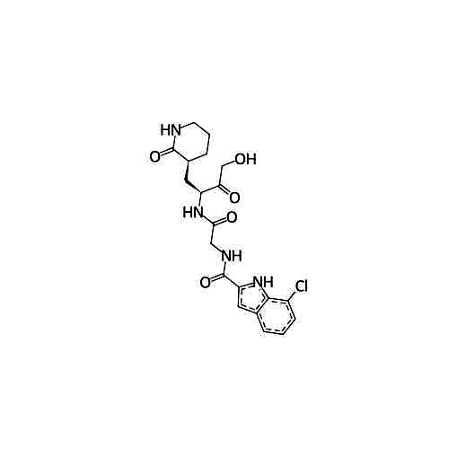 O=C(CNC(=O)c1cc2cccc(Cl)c2[nH]1)N[C@@H](C[C@@H]1CCCNC1=O)C(=O)CO